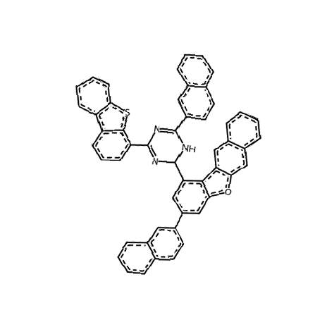 c1ccc2cc(C3=NC(c4cccc5c4sc4ccccc45)=NC(c4cc(-c5ccc6ccccc6c5)cc5oc6cc7ccccc7cc6c45)N3)ccc2c1